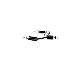 N#CC#N.[O]=[Ag]